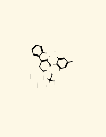 C[C@@H]1Cc2c([nH]c3ccccc23)[C@@H](c2c(F)cc(I)cc2F)N1CC(C)(F)F